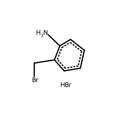 Br.Nc1ccccc1CBr